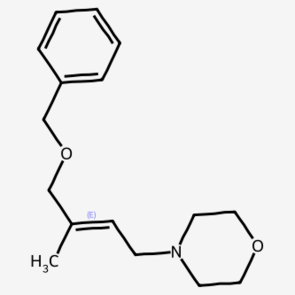 C/C(=C\CN1CCOCC1)COCc1ccccc1